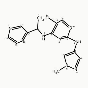 [CH2][C](Nc1nc(Nc2cnn(C)c2)ncc1Cl)c1cccnc1